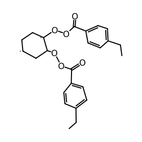 CCc1ccc(C(=O)OO[C]2CC[CH]CC2OOC(=O)c2ccc(CC)cc2)cc1